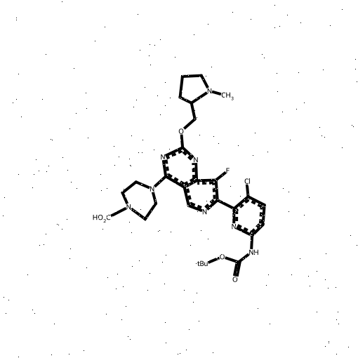 CN1CCCC1COc1nc(N2CCN(C(=O)O)CC2)c2cnc(-c3nc(NC(=O)OC(C)(C)C)ccc3Cl)c(F)c2n1